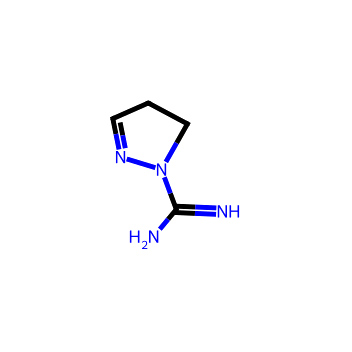 N=C(N)N1CCC=N1